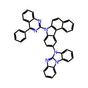 c1ccc(-c2nc(-n3c4ccc(-n5c6ccccc6n6c7ccccc7nc56)cc4c4c5ccccc5ccc43)nc3ccccc23)cc1